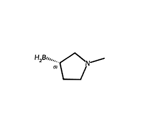 B[C@H]1CCN(C)C1